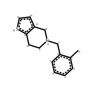 Cc1ccccc1CN1CCc2sccc2C1